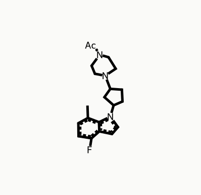 CC(=O)N1CCN(C2CCC(n3ccc4c(F)ccc(C)c43)C2)CC1